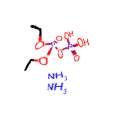 CCOP(=O)(OCC)OP(=O)(O)O.N.N